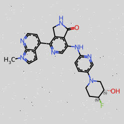 Cn1ccc2c(-c3ncc(Nc4ccc(N5CC[C@H](F)[C@@H](O)C5)cn4)c4c3CNC4=O)ccnc21